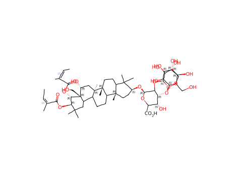 C/C=C(/C)C(=O)O[C@H]1[C@H](OC(=O)/C(C)=C\C)[C@@]2(CO)C(CC1(C)C)C1CCC3[C@@]4(C)CC[C@H](O[C@@H]5OC(C(=O)O)[C@@H](O)[C@@H](O[C@@H]6OC[C@@H](O)[C@@H](O)C6O)C5O[C@@H]5OC(CO)[C@H](O)[C@@H](O)C5O)C(C)(C)C4CC[C@@]3(C)[C@]1(C)C[C@H]2O